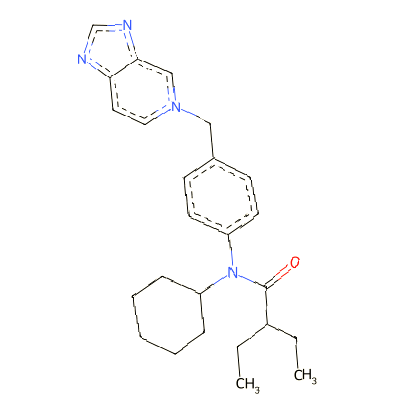 CCC(CC)C(=O)N(c1ccc(Cn2ccc3ncnc-3c2)cc1)C1CCCCC1